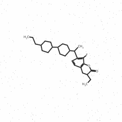 CCCC1CCC(C2CCC(C(C)c3ccc4c(c3F)OC(=O)C(CC)C4)CC2)CC1